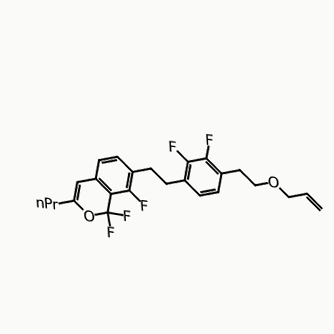 C=CCOCCc1ccc(CCc2ccc3c(c2F)C(F)(F)OC(CCC)=C3)c(F)c1F